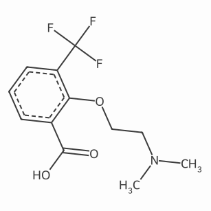 CN(C)CCOc1c(C(=O)O)cccc1C(F)(F)F